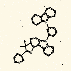 CC1(C)C(c2ccccc2)=Nc2c1ccc1c2c2ccccc2n1-c1cccc(-n2c3ccccc3c3ccccc32)c1